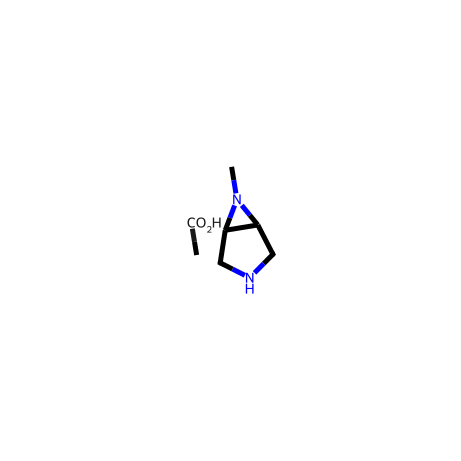 CC(=O)O.CN1C2CNCC21